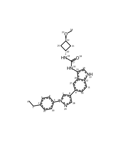 CCc1ccc(-n2cc(-c3ccc4[nH]cc(NC(=O)N[C@H]5C[C@H](OC)C5)c4c3)cn2)cc1